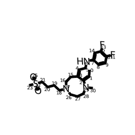 C/C=C1\C(=C/CNc2ccc(F)c(F)c2)CCN(CCCCS(C)(=O)=O)CCCN1C